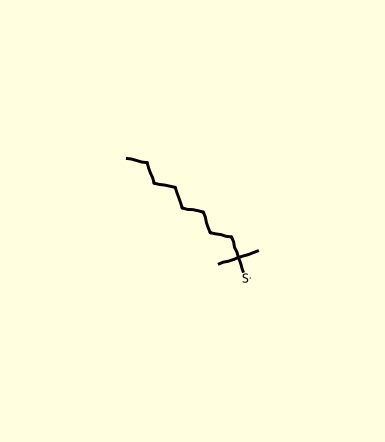 CCCCCCCCC(C)(C)[S]